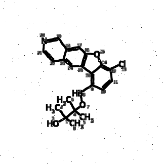 CC(C)(O)C(C)(C)OBc1ccc(Cl)c2oc3cc4cnccc4cc3c12